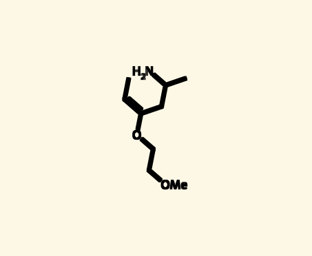 CC=C(CC(C)N)OCCOC